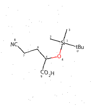 CC(C)(C)[Si](C)(C)OC(CCC#N)C(=O)O